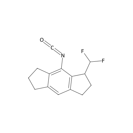 O=C=Nc1c2c(cc3c1C(C(F)F)CC3)CCC2